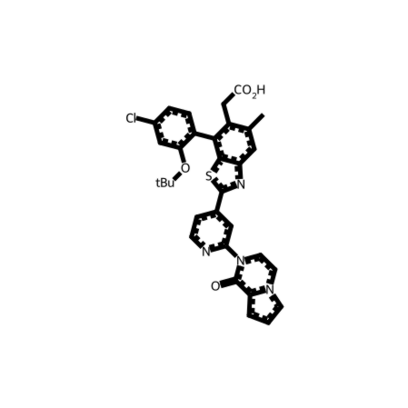 Cc1cc2nc(-c3ccnc(-n4ccn5cccc5c4=O)c3)sc2c(-c2ccc(Cl)cc2OC(C)(C)C)c1CC(=O)O